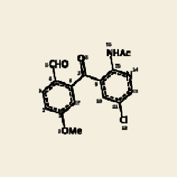 COc1ccc(C=O)c(C(=O)c2cc(Cl)cnc2NC(C)=O)c1